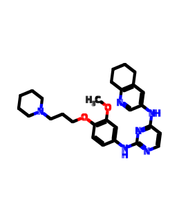 COc1cc(Nc2nccc(Nc3cnc4c(c3)CCCC4)n2)ccc1OCCCN1CCCCC1